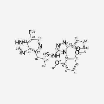 COc1cccc(OC)c1-n1c(NSC(C)Cc2ncc(F)c3[nH]cnc23)nnc1-c1ccco1